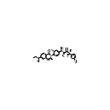 CCNc1ccc2c(=O)n(-c3ccc(NC(=O)NS(=O)(=O)c4ccc(Cl)s4)cc3F)c(C)nc2c1